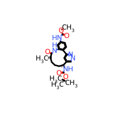 COC(=O)Nc1ccc2c(c1)NC(=O)[C@@H](C)CCC[C@H](NC(=O)OC(C)(C)C)c1cnnc-2c1